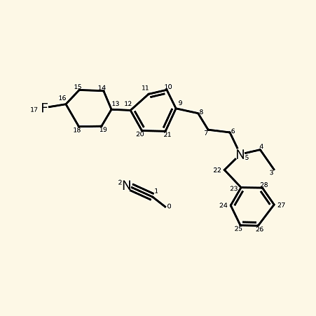 CC#N.CCN(CCCc1ccc(C2CCC(F)CC2)cc1)Cc1ccccc1